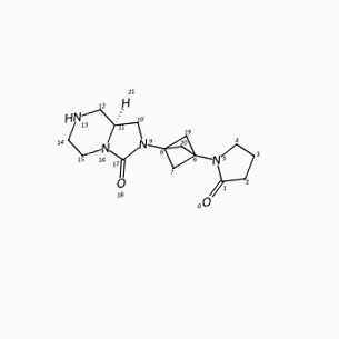 O=C1CCCN1C12CC(N3C[C@@H]4CNCCN4C3=O)(C1)C2